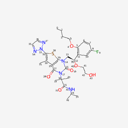 CCCCOc1ccc(F)cc1[C@H](Cn1c(=O)n(C(C)(C)C(=O)NC(C)C)c(=O)c2c(C)c(-n3nccn3)sc21)OCCO